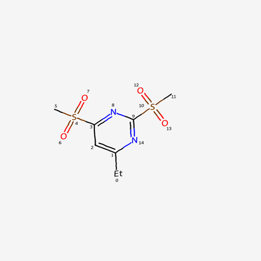 CCc1cc(S(C)(=O)=O)nc(S(C)(=O)=O)n1